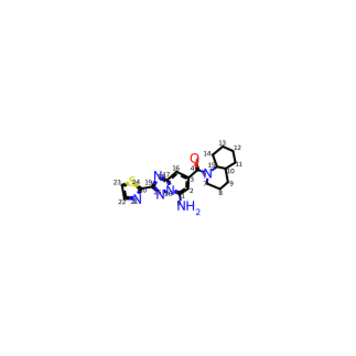 Nc1cc(C(=O)N2CCCC3CCCCC32)cc2nc(-c3nccs3)nn12